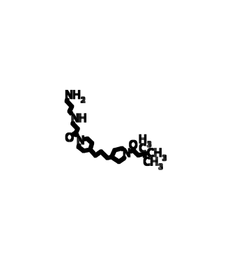 CC(C)(C)CC(=O)N1CCC(CCCC2CCN(C(=O)CCNCCCN)CC2)CC1